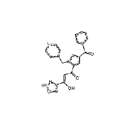 O=C(c1ccccc1)c1cc(C(=O)C=C(O)c2nn[nH]n2)n(Cc2ccncc2)c1